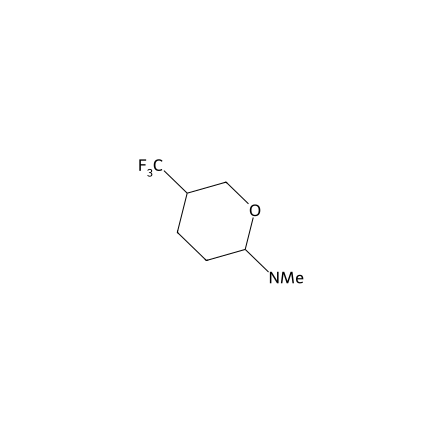 CNC1CCC(C(F)(F)F)CO1